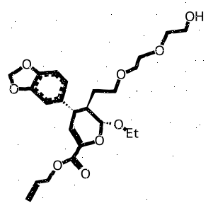 C=CCOC(=O)C1=C[C@H](c2ccc3c(c2)OCO3)[C@@H](CCOCCOCCO)[C@H](OCC)O1